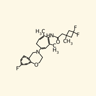 CC1=CCC(N2CCOc3cc(F)ccc3C2)=CC(C)=C1NC(=O)CC1(C)CC(F)(F)C1